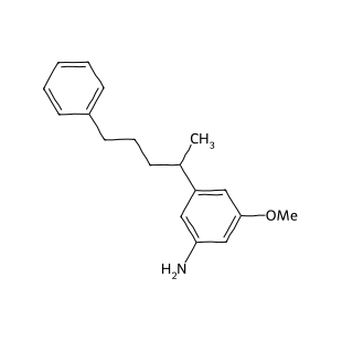 COc1cc(N)cc(C(C)CCCc2ccccc2)c1